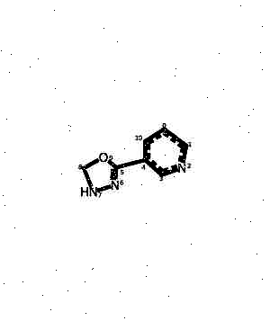 c1cncc(C2=NNCO2)c1